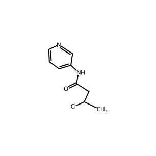 CC(Cl)CC(=O)Nc1cccnc1